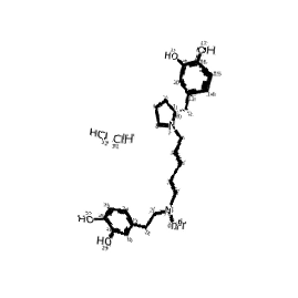 CCCN(CCCCCN1CCC[C@@H]1Cc1ccc(O)c(O)c1)CCc1ccc(O)c(O)c1.Cl.Cl